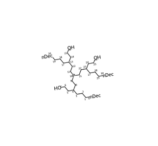 CCCCCCCCCCCCCC(CCO)CCP(CCC(CCO)CCCCCCCCCCCCC)CCC(CCO)CCCCCCCCCCCCC